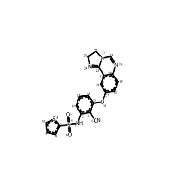 N#Cc1c(NS(=O)(=O)c2cccs2)cccc1Oc1ccc2c(c1)C1=NCCN1C=N2